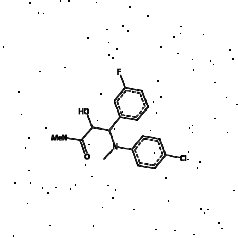 CNC(=O)C(O)C(c1cccc(F)c1)N(C)c1ccc(Cl)cc1